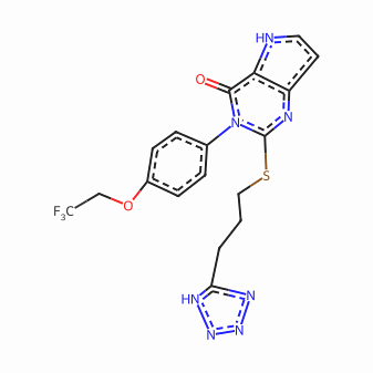 O=c1c2[nH]ccc2nc(SCCCc2nnn[nH]2)n1-c1ccc(OCC(F)(F)F)cc1